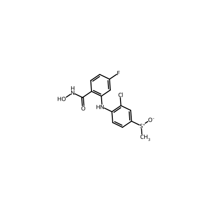 C[S+]([O-])c1ccc(Nc2cc(F)ccc2C(=O)NO)c(Cl)c1